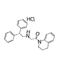 Cl.O=C(CNCC(c1ccccc1)c1ccccc1)N1CCCc2ccccc21